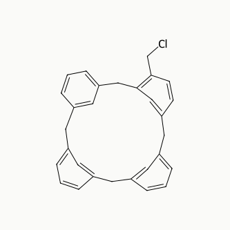 ClCc1ccc2cc1Cc1cccc(c1)Cc1cccc(c1)Cc1cccc(c1)C2